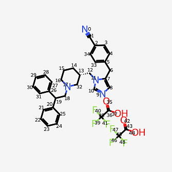 N#Cc1ccc(Cc2cncn2C[C@H]2CCCN(CC(c3ccccc3)c3ccccc3)C2)cc1.O=C(O)C(F)(F)F.O=C(O)C(F)(F)F